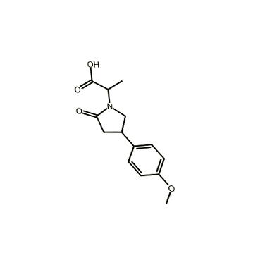 COc1ccc(C2CC(=O)N(C(C)C(=O)O)C2)cc1